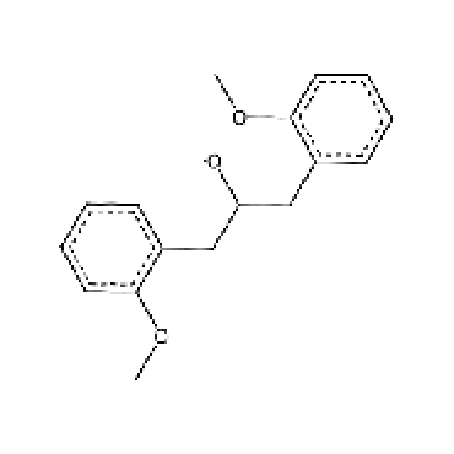 COc1ccccc1CC([O])Cc1ccccc1OC